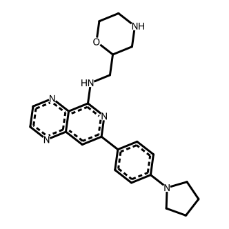 c1cnc2c(NCC3CNCCO3)nc(-c3ccc(N4CCCC4)cc3)cc2n1